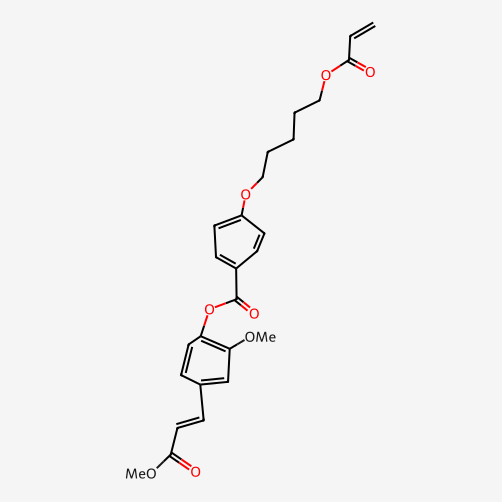 C=CC(=O)OCCCCCOc1ccc(C(=O)Oc2ccc(/C=C/C(=O)OC)cc2OC)cc1